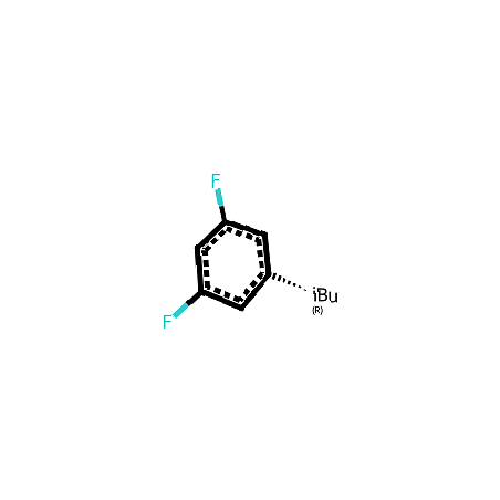 CC[C@@H](C)c1cc(F)cc(F)c1